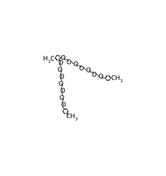 Cc1ccc(COCCOCCOCCOCCOCCOCCOc2ccc(C)cc2OCCOCCOCCOCCOCCOCCOCc2ccc(C)cc2)cc1